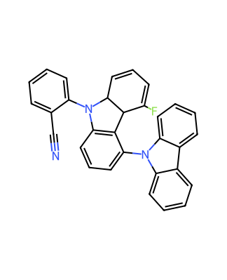 N#Cc1ccccc1N1c2cccc(-n3c4ccccc4c4ccccc43)c2C2C(F)=CC=CC21